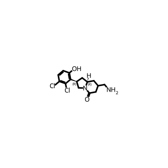 NCC1CC(=O)N2C[C@@H](c3c(O)ccc(Cl)c3Cl)C[C@H]2C1